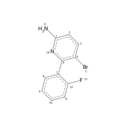 Nc1ccc(Br)c(-c2ccccc2F)n1